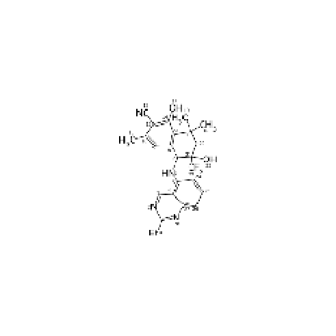 CCc1ncc2c(NC3c4cc(C)c(C#N)c(O)c4C(C)(C)CC3(O)C(F)(F)F)cccc2n1